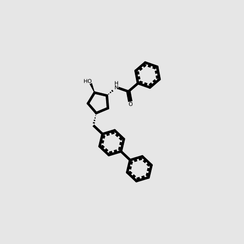 O=C(N[C@@H]1C[C@H](Cc2ccc(-c3ccccc3)cc2)C[C@H]1O)c1ccccc1